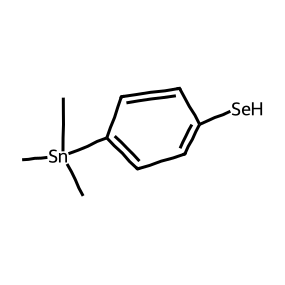 [CH3][Sn]([CH3])([CH3])[c]1ccc([SeH])cc1